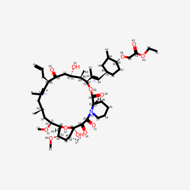 C=CC[C@@H]1/C=C(\C)C[C@H](C)C[C@H](OC)[C@H]2O[C@@](O)(C(=O)C(=O)N3CCCC[C@H]3C(=O)O[C@H](/C(C)=C/[C@@H]3CC[C@@H](OCC(=O)OCC)C(C)C3)[C@H](C)[C@@H](O)CC1=O)[C@H](C)C[C@@H]2OC